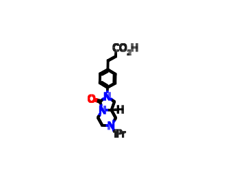 CC(C)N1CCN2C(=O)N(c3ccc(CCC(=O)O)cc3)C[C@@H]2C1